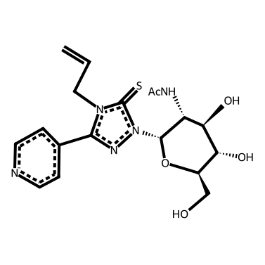 C=CCn1c(-c2ccncc2)nn([C@H]2O[C@H](CO)[C@@H](O)[C@H](O)[C@H]2NC(C)=O)c1=S